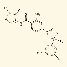 CCN1OC[C@@H](NC(=O)c2ccc(C3=NOC(c4cc(Cl)cc(Br)c4)(C(F)(F)F)C3)cc2C)C1=O